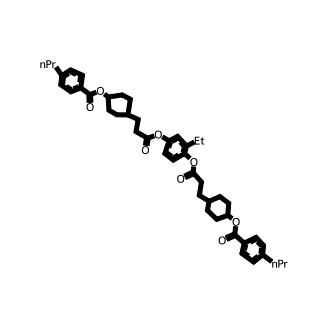 CCCc1ccc(C(=O)OC2CCC(CCC(=O)Oc3ccc(OC(=O)CCC4CCC(OC(=O)c5ccc(CCC)cc5)CC4)c(CC)c3)CC2)cc1